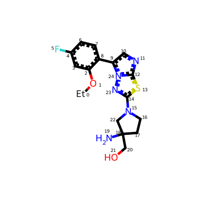 CCOc1cc(F)ccc1-c1cnc2sc(N3CCC(N)(CO)C3)nn12